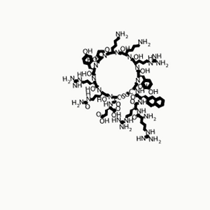 N=C(N)NCCCC1N=C(O)[C@@H](Cc2ccc(O)cc2)N=C(O)C(NC(=O)[C@@H](Cc2ccc3ccccc3c2)NC(=O)[C@H](CCCNC(=N)N)NC(=O)[C@H](N)CCCNC(=N)N)CSSC[C@H](C(=O)N[C@H](CCC(=O)O)C(=O)O)N=C(O)[C@@H](CCCNC(N)=O)N=C(O)[C@@H](CCCNC(=N)N)N=C(O)[C@@H](Cc2ccc(O)cc2)N=C(O)[C@@H]2CCCN2C(=O)C(CCCCN)N=C(O)C(CCCCN)N=C1O